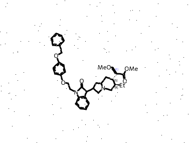 CC[C@H]1CN2CC(C3C(=O)N(CCOc4ccc(OCc5ccccc5)cc4)c4ccccc43)CC2C[C@@H]1/C(=C\OC)C(=O)OC